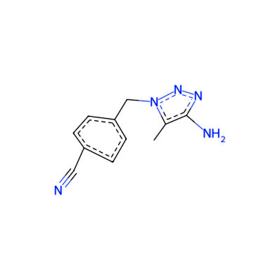 Cc1c(N)nnn1Cc1ccc(C#N)cc1